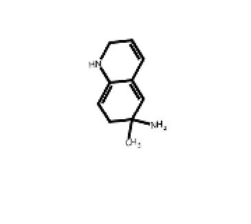 CC1(N)C=C2C=CCNC2=CC1